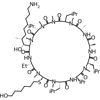 CC[C@@H]1NC(=O)C([C@H](O)[C@H](C)CCCCCCN)N(C)C(=O)[C@H](C(C)C)N(C)C(=O)N(C)C(=O)C(CC(C)C)N(C)C(=O)[C@H](C)NC(=O)[C@@H](C)NC(=O)[C@@H](CC(C)C)N(C)C(=O)[C@@H](C(C)C)NC(=O)[C@H](CC(C)C)N(C)C(=O)[C@@H](SCCCCCCO)N(C)C1=O